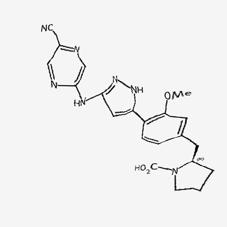 COc1cc(C[C@H]2CCCN2C(=O)O)ccc1-c1cc(Nc2cnc(C#N)cn2)n[nH]1